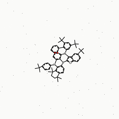 Cc1cc2c3c(c1)N(c1cc(C(C)(C)C)cc(C(C)(C)C)c1-c1ccccc1)c1c(oc4ccc(C(C)(C)C)cc14)B3c1ccc3c(c1N2c1ccc(C(C)(C)C)cc1)C(C)(C)CCC3(C)C